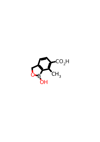 Cc1c(C(=O)O)ccc2c1B(O)OC2